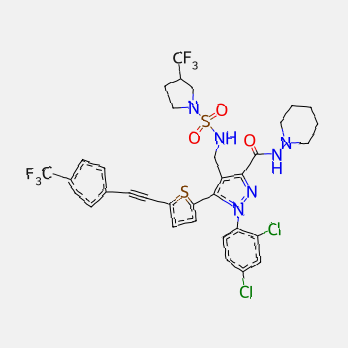 O=C(NN1CCCCC1)c1nn(-c2ccc(Cl)cc2Cl)c(-c2ccc(C#Cc3ccc(C(F)(F)F)cc3)s2)c1CNS(=O)(=O)N1CCC(C(F)(F)F)C1